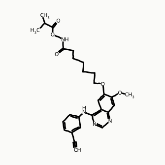 C#Cc1cccc(Nc2ncnc3cc(OC)c(OCCCCCCC(=O)NOC(=O)C(C)C)cc23)c1